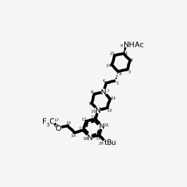 CC(=O)N[C@H]1CC[C@H](CCN2CCN(c3cc(CCOC(F)(F)F)nc(C(C)(C)C)n3)CC2)CC1